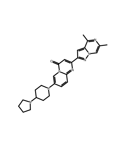 Cc1cn2nc(-c3cc(=O)n4cc(N5CCC(N6CCCC6)CC5)ccc4n3)cc2c(C)n1